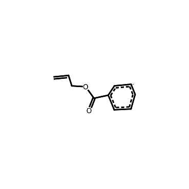 C=CCOC(=O)c1c[c]ccc1